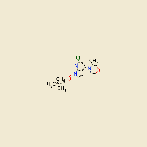 CC1COCCN1c1cc(Cl)nc2c1ccn2COCC[Si](C)(C)C